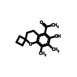 CC(=O)c1c(O)c(C)c(C)c2c1CCC1(CCC1)O2